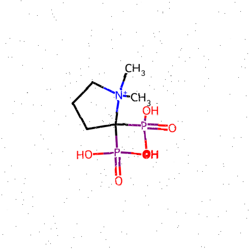 C[N+]1(C)CCCC1(P(=O)(O)O)P(=O)(O)O